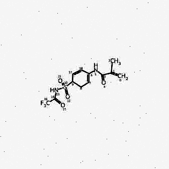 C=C(C)C(=O)NC1=CCC(S(=O)(=O)NC(=O)C(F)(F)F)C=C1